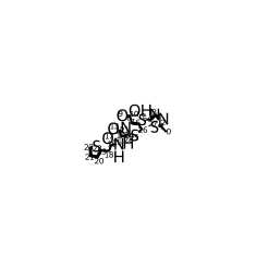 Cc1nnc(SC2=C(C(=O)O)N3C(=O)C(NC(=O)Cc4cccs4)[C@H]3SC2)s1